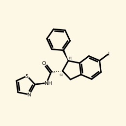 O=C(Nc1nccs1)[C@H]1Cc2ccc(I)cc2[C@@H]1c1ccccc1